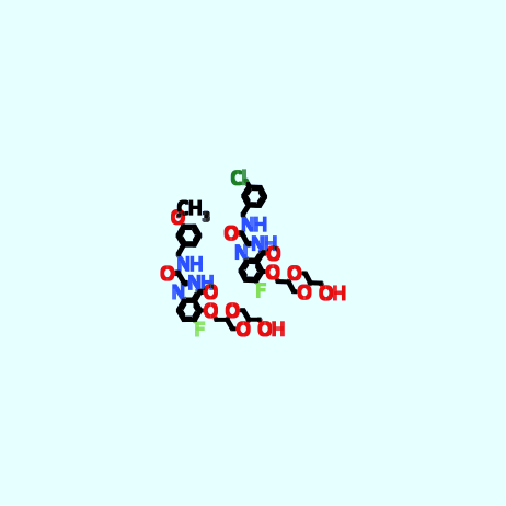 COc1cccc(CNC(=O)c2nc3ccc(F)c(OCC4COC(CO)CO4)c3c(=O)[nH]2)c1.O=C(NCc1cccc(Cl)c1)c1nc2ccc(F)c(OCC3COC(CO)CO3)c2c(=O)[nH]1